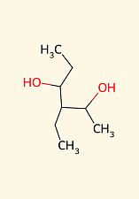 CCC(O)C(CC)C(C)O